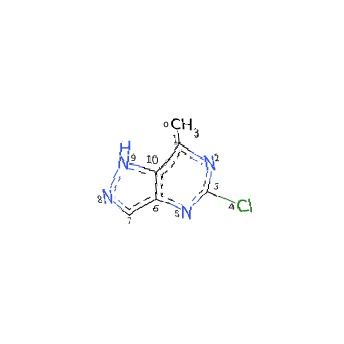 Cc1nc(Cl)nc2cn[nH]c12